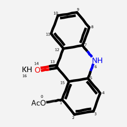 CC(=O)Oc1cccc2[nH]c3ccccc3c(=O)c12.[KH]